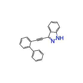 C(#Cc1n[nH]c2ccccc12)c1ccccc1-c1ccccc1